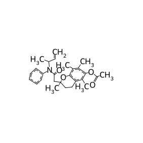 C=CC(C)N(C(=O)CC1(C)CCc2c(C)c(OC(C)=O)c(C)c(C)c2O1)c1ccccc1